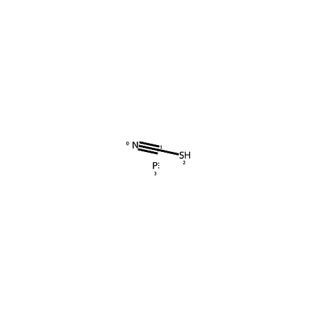 N#CS.[P]